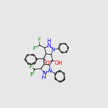 OC12OC(c3ccccc3)(C3C(C(F)F)NN(c4ccccc4)C31)C1C(C(F)F)NN(c3ccccc3)C12